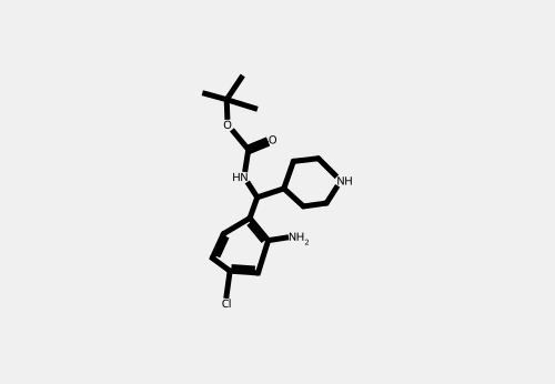 CC(C)(C)OC(=O)NC(c1ccc(Cl)cc1N)C1CCNCC1